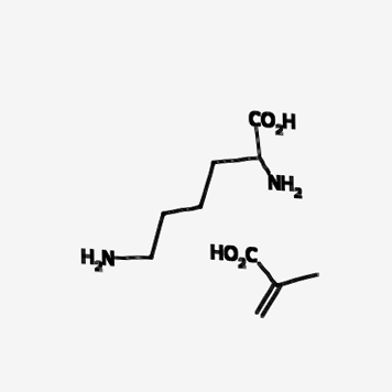 C=C(C)C(=O)O.NCCCCC(N)C(=O)O